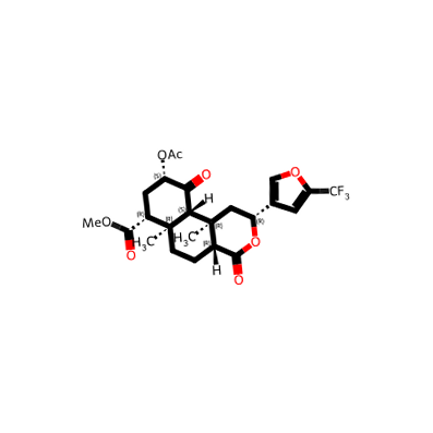 COC(=O)[C@@H]1C[C@H](OC(C)=O)C(=O)[C@H]2[C@@]1(C)CC[C@H]1C(=O)O[C@@H](c3coc(C(F)(F)F)c3)C[C@]21C